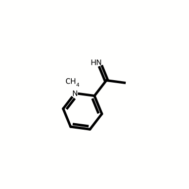 C.CC(=N)c1ccccn1